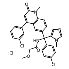 COCC(=O)NC(c1ccc(Cl)cc1)(c1ccc2c(c1)c(-c1cccc(Cl)c1)cc(=O)n2C)c1cncn1C.Cl